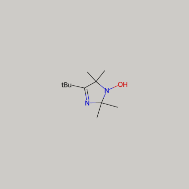 CC(C)(C)C1=NC(C)(C)N(O)C1(C)C